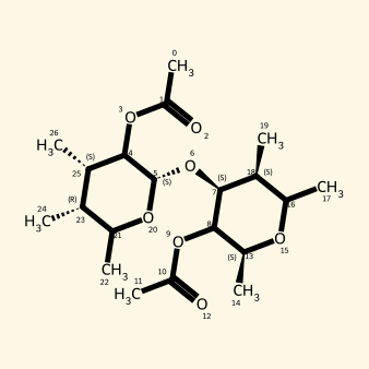 CC(=O)OC1[C@H](O[C@@H]2C(OC(C)=O)[C@H](C)OC(C)[C@@H]2C)OC(C)[C@H](C)[C@@H]1C